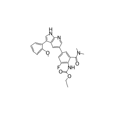 CCOC(=O)Nc1c(F)cc(-c2cnc3[nH]cc(-c4ccccc4OC)c3c2)cc1C(=O)N(C)C